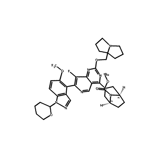 CC(C)(C)OC(=O)N1[C@@H]2CC[C@H]1CN(c1nc(OCC34CCCN3CCC4)nc3c(F)c(-c4c(OC(F)(F)F)ccc5c4cnn5C4CCCCO4)ncc13)C2